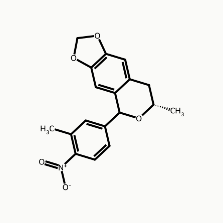 Cc1cc(C2O[C@@H](C)Cc3cc4c(cc32)OCO4)ccc1[N+](=O)[O-]